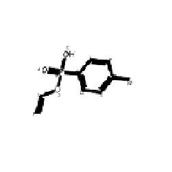 C=COP(=O)(O)c1ccc(C)cc1